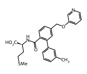 CSCC[C@H](NC(=O)c1ccc(COc2cccnc2)cc1-c1cccc(C)c1)C(=O)O